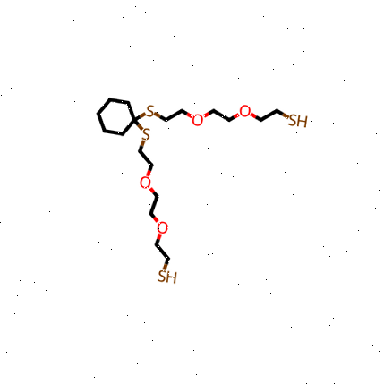 SCCOCCOCCSC1(SCCOCCOCCS)CCCCC1